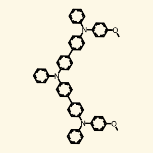 COc1ccc(N(c2ccccc2)c2ccc(-c3ccc(N(c4ccccc4)c4ccc(-c5ccc(N(c6ccccc6)c6ccc(OC)cc6)cc5)cc4)cc3)cc2)cc1